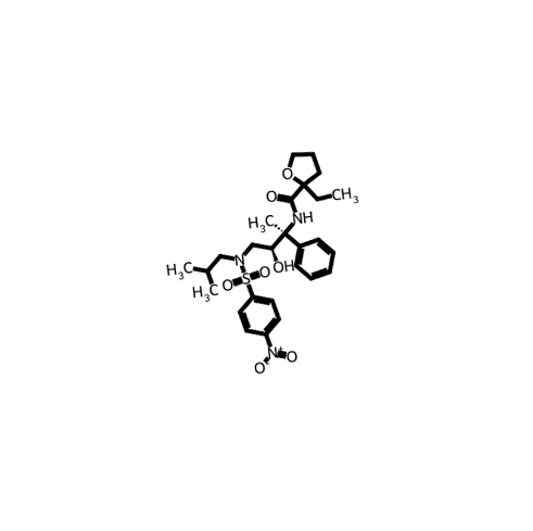 CCC1(C(=O)N[C@@](C)(c2ccccc2)[C@@H](O)CN(CC(C)C)S(=O)(=O)c2ccc([N+](=O)[O-])cc2)CCCO1